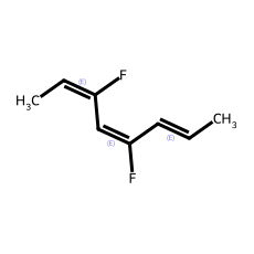 C/C=C/C(F)=C\C(F)=C/C